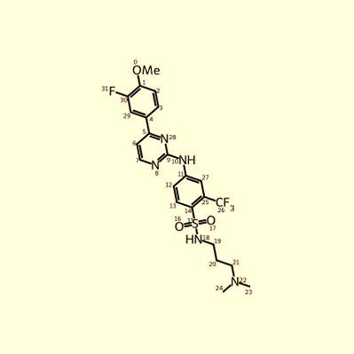 COc1ccc(-c2ccnc(Nc3ccc(S(=O)(=O)NCCCN(C)C)c(C(F)(F)F)c3)n2)cc1F